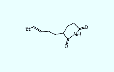 CC/C=C/CCC1CCC(=O)NC1=O